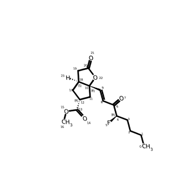 CCCC[C@@H](F)C(=O)C=C[C@@]12C[C@H](C(=O)OC)C[C@H]1CC(=O)O2